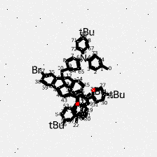 Cc1ccc(N(c2ccc(CC3(Cc4ccc(N(c5ccc(C)cc5)c5ccc(C(C)(C)C)cc5)cc4)c4cc(Br)ccc4-c4ccc(-c5cc(C(C)(C)C)cc6c5-c5ccc(C(C)(C)C)cc5C6(C)C)cc43)cc2)c2ccc(C(C)(C)C)cc2)cc1